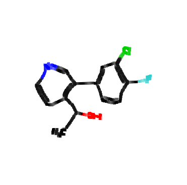 CC(O)c1ccncc1-c1ccc(F)c(Cl)c1